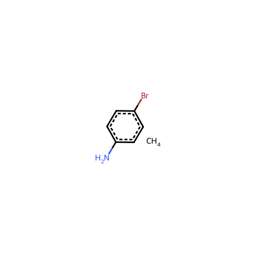 C.Nc1ccc(Br)cc1